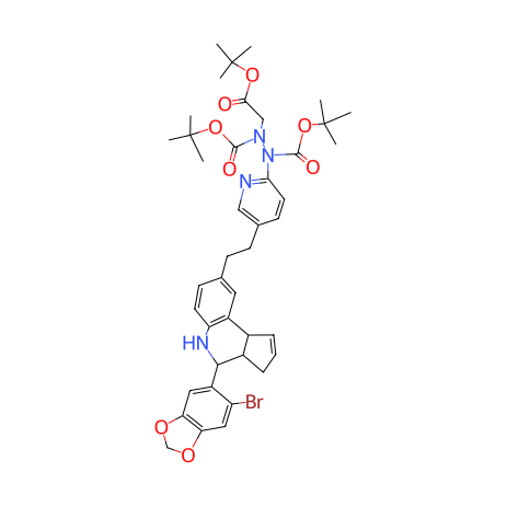 CC(C)(C)OC(=O)CN(C(=O)OC(C)(C)C)N(C(=O)OC(C)(C)C)c1ccc(CCc2ccc3c(c2)C2C=CCC2C(c2cc4c(cc2Br)OCO4)N3)cn1